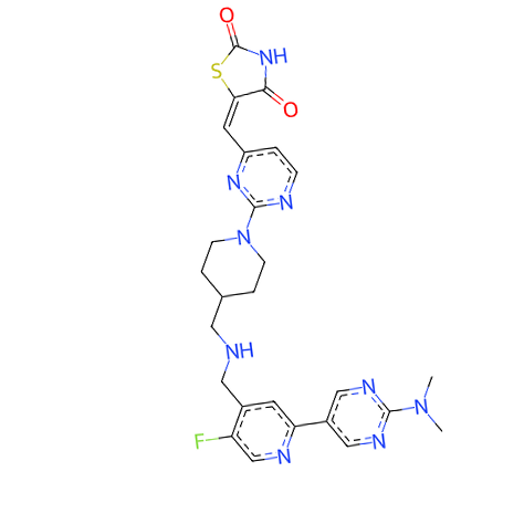 CN(C)c1ncc(-c2cc(CNCC3CCN(c4nccc(C=C5SC(=O)NC5=O)n4)CC3)c(F)cn2)cn1